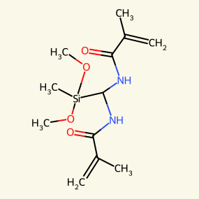 C=C(C)C(=O)NC(NC(=O)C(=C)C)[Si](C)(OC)OC